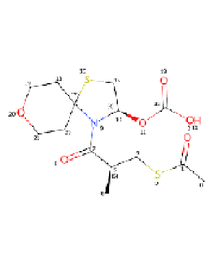 CC(=O)SC[C@@H](C)C(=O)N1[C@H](OC(=O)O)CSC12CCOCC2